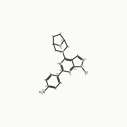 CCn1ncc2c(N3CC4CCC(C3)O4)nc(-c3ccc(N)cc3)nc21